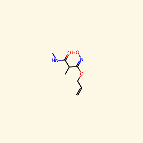 C=CCO/C(=N/O)C(C)C(=O)NC